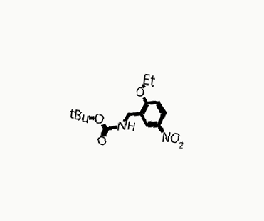 CCOc1ccc([N+](=O)[O-])cc1CNC(=O)OC(C)(C)C